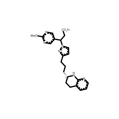 COc1ncc(C(CC(=O)O)n2ccc(CCC[C@H]3CCc4cccnc4N3)n2)cn1